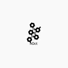 CCCCCCCCc1cccc(N2c3ccccc3B3c4ccc(C)cc4N(c4ccccc4)c4cccc2c43)c1